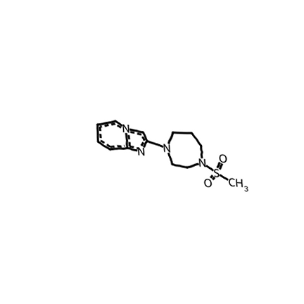 CS(=O)(=O)N1CCCN(c2cn3ccccc3n2)CC1